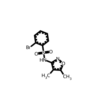 Cc1onc(NS(=O)(=O)c2ccccc2Br)c1C